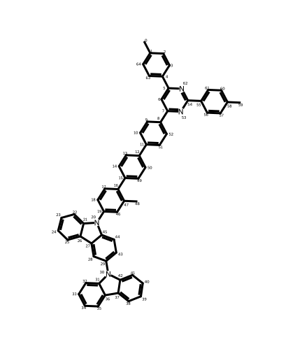 Cc1ccc(-c2cc(-c3ccc(-c4ccc(-c5ccc(-n6c7ccccc7c7cc(-n8c9ccccc9c9ccccc98)ccc76)cc5C)cc4)cc3)nc(-c3ccc(C)cc3)n2)cc1